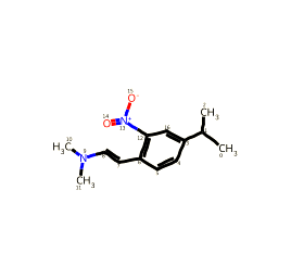 CC(C)c1ccc(C=CN(C)C)c([N+](=O)[O-])c1